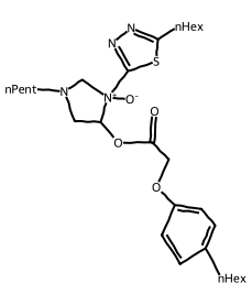 CCCCCCc1ccc(OCC(=O)OC2CN(CCCCC)C[N+]2([O-])c2nnc(CCCCCC)s2)cc1